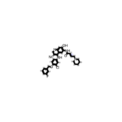 N#Cc1cnc2cc(O)c(NC(=O)/C=C/CN3CCCCC3)cc2c1Nc1ccc(OCc2cccc(F)c2)c(Cl)c1